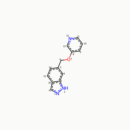 [c]1n[nH]c2cc(COc3cccnc3)ccc12